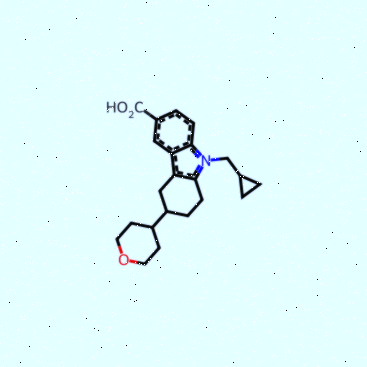 O=C(O)c1ccc2c(c1)c1c(n2CC2CC2)CCC(C2CCOCC2)C1